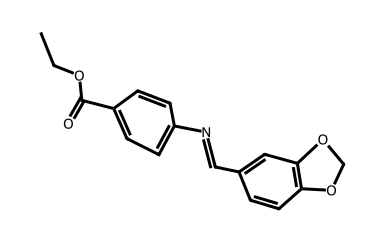 CCOC(=O)c1ccc(N=Cc2ccc3c(c2)OCO3)cc1